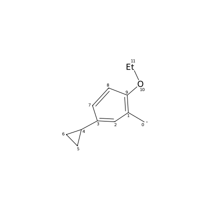 [CH2]c1cc(C2CC2)ccc1OCC